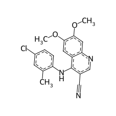 COc1cc2ncc(C#N)c(Nc3ccc(Cl)cc3C)c2cc1OC